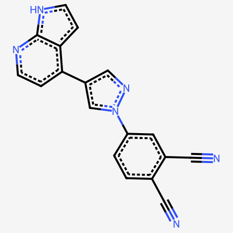 N#Cc1ccc(-n2cc(-c3ccnc4[nH]ccc34)cn2)cc1C#N